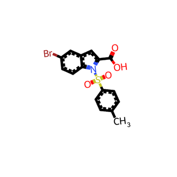 Cc1ccc(S(=O)(=O)n2c(C(=O)O)cc3cc(Br)ccc32)cc1